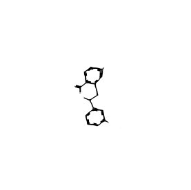 Cc1cccc(C2Cc3cc(Cl)ccc3C(=O)O2)c1